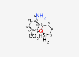 C1CC[SiH2]OC1.Nc1ccc(C(=O)O)cc1